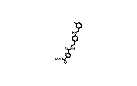 COC(=O)c1ccc(C(=O)NCCc2ccc(NCc3cccc(C)c3)cc2)s1